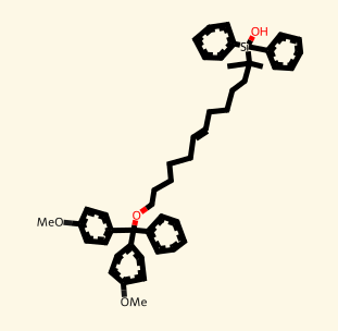 COc1ccc(C(OCCCCC/C=C/CCCCC(C)(C)[Si](O)(c2ccccc2)c2ccccc2)(c2ccccc2)c2ccc(OC)cc2)cc1